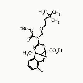 CCOC(=O)[C@]12CC1[C@@](C)(c1cccc(F)c1F)N=C(N(COCC[Si](C)(C)C)C(=O)OC(C)(C)C)S2